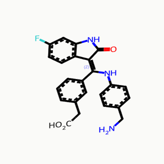 NCc1ccc(N/C(=C2\C(=O)Nc3cc(F)ccc32)c2cccc(CC(=O)O)c2)cc1